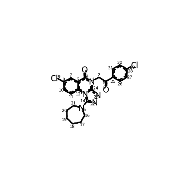 O=C(Cn1c(=O)c2cc(Cl)ccc2n2c(N3CCCCCC3)nnc12)c1ccc(Cl)cc1